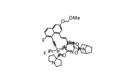 COCOc1cc(/C=C/c2nc(OC[C@@]34CCCN3C[C@H](F)C4)nc(N3CC4CCC(C3)N4C(=O)OC(C)(C)C)n2)c2c(C#C[Si](C(C)C)(C(C)C)C(C)C)c(F)ccc2c1